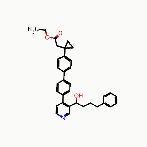 CCOC(=O)CC1(c2ccc(-c3ccc(-c4ccncc4C(O)CCCc4ccccc4)cc3)cc2)CC1